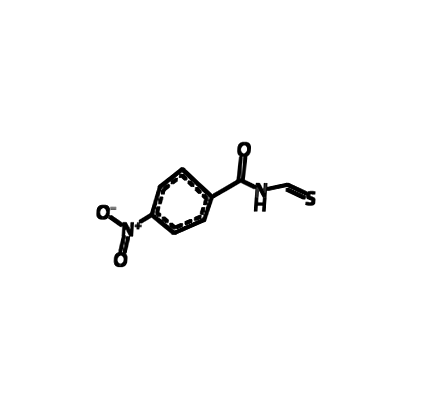 O=C(NC=S)c1ccc([N+](=O)[O-])cc1